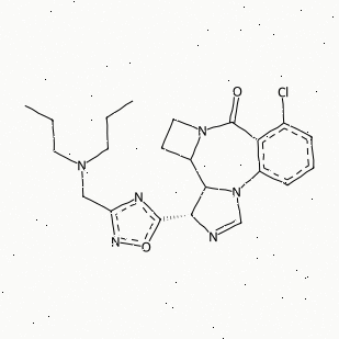 CCCN(CCC)Cc1noc([C@H]2N=CN3c4cccc(Cl)c4C(=O)N4CCC4C23)n1